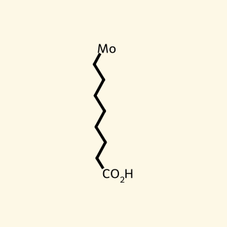 O=C(O)CCCCCC[CH2][Mo]